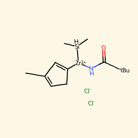 CC1=CC[C]([Zr+2]([NH]C(=O)C(C)(C)C)[SiH](C)C)=C1.[Cl-].[Cl-]